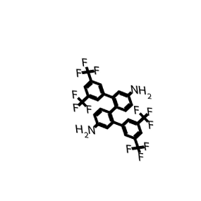 Nc1ccc(-c2ccc(N)cc2-c2cc(C(F)(F)F)cc(C(F)(F)F)c2)c(-c2cc(C(F)(F)F)cc(C(F)(F)F)c2)c1